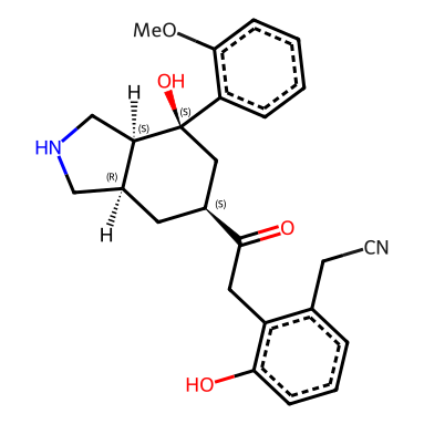 COc1ccccc1[C@]1(O)C[C@@H](C(=O)Cc2c(O)cccc2CC#N)C[C@H]2CNC[C@H]21